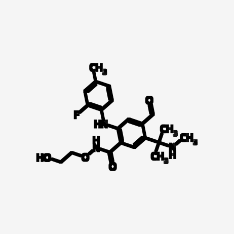 CNC(C)(C)c1cc(C(=O)NOCCO)c(Nc2ccc(C)cc2F)cc1C=O